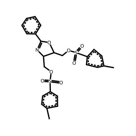 Cc1ccc(S(=O)(=O)OCC2N=C(c3ccccc3)OC2COS(=O)(=O)c2ccc(C)cc2)cc1